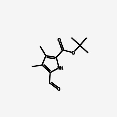 Cc1c(C=O)[nH]c(C(=O)OC(C)(C)C)c1C